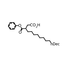 CCCCCCCCCCCCCCCCCCC(CC(=O)O)C(=O)Oc1ccccc1